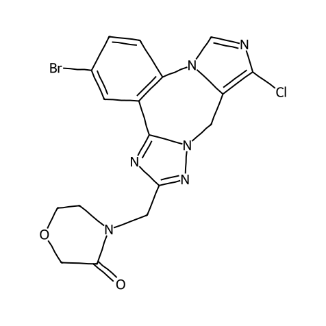 O=C1COCCN1Cc1nc2n(n1)Cc1c(Cl)ncn1-c1ccc(Br)cc1-2